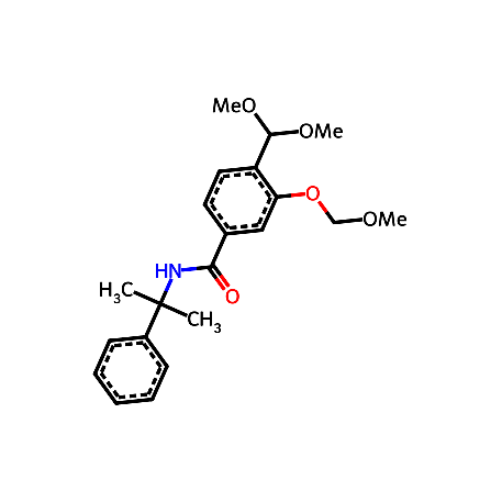 COCOc1cc(C(=O)NC(C)(C)c2ccccc2)ccc1C(OC)OC